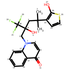 CC(C)(CC(O)(Cn1ccc(=O)c2ccccc21)C(F)(F)F)c1ccsc1O